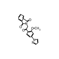 COc1cc(-n2cccn2)ccc1C(=O)CN1C(=O)c2ccccc2C1=O